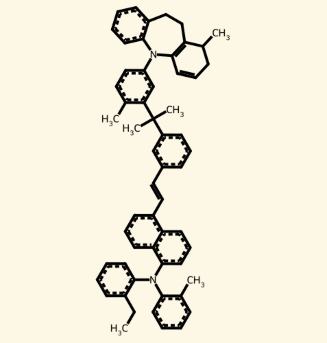 CCc1ccccc1N(c1ccccc1C)c1cccc2c(/C=C/c3cccc(C(C)(C)c4cc(N5C6=C(CCc7ccccc75)C(C)CC=C6)ccc4C)c3)cccc12